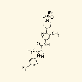 Cc1cc(NC(=O)c2cnn(-c3ccc(C(F)(F)F)cn3)c2C)cnc1C1CCN(S(=O)(=O)C(C)C)CC1